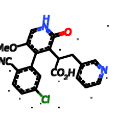 COc1c[nH]c(=O)c(C(Cc2cccnc2)C(=O)O)c1-c1cc(Cl)ccc1C#N